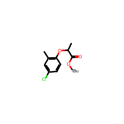 CCC(C)OC(=O)C(C)Oc1ccc(Cl)cc1C